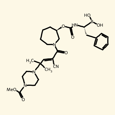 COC(=O)N1CCN(C(C)(C)C=C(C#N)C(=O)N2CCCC[C@@H](OC(=O)N[C@@H](Cc3ccccc3)B(O)O)C2)CC1